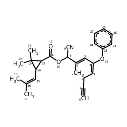 C#CC/C=C(\C=C(/C)C(C#N)OC(=O)C1C(C=C(C)C)C1(C)C)Oc1ccccc1